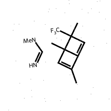 CC1=CC2(C)C1=CC2(C)C(F)(F)F.CNC=N